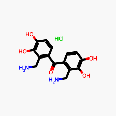 Cl.NCc1c(C(=O)c2ccc(O)c(O)c2CN)ccc(O)c1O